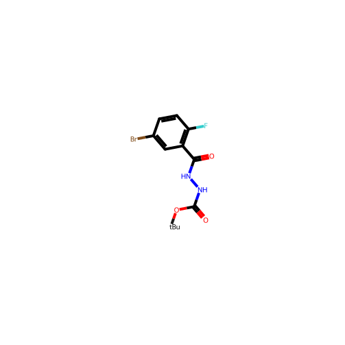 CC(C)(C)OC(=O)NNC(=O)c1cc(Br)ccc1F